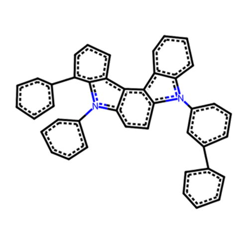 c1ccc(-c2cccc(-n3c4ccccc4c4c5c6cccc(-c7ccccc7)c6n(-c6ccccc6)c5ccc43)c2)cc1